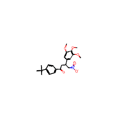 COc1cc(C(CC(=O)c2ccc(C(C)(C)C)cc2)C[N+](=O)[O-])cc(OC)c1OC